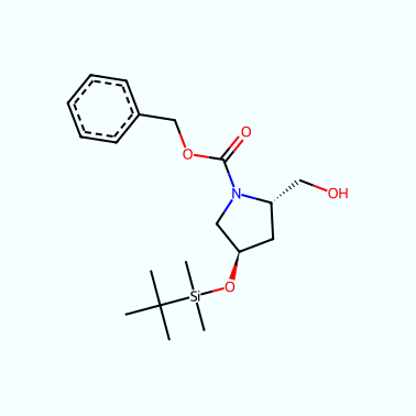 CC(C)(C)[Si](C)(C)O[C@@H]1C[C@@H](CO)N(C(=O)OCc2ccccc2)C1